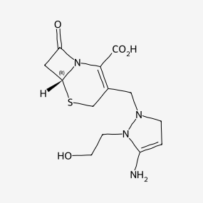 NC1=CCN(CC2=C(C(=O)O)N3C(=O)C[C@H]3SC2)N1CCO